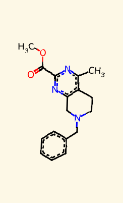 COC(=O)c1nc(C)c2c(n1)CN(Cc1ccccc1)CC2